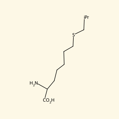 CC(C)CSCCCCCC(N)C(=O)O